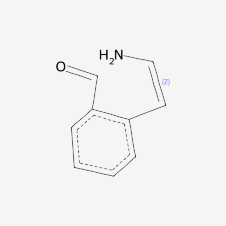 N/C=C\c1ccccc1C=O